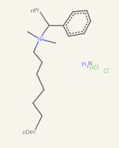 CCCCCCCCCCCCCCCC[N+](C)(C)C(CCC)c1ccccc1.Cl.N.[Cl-]